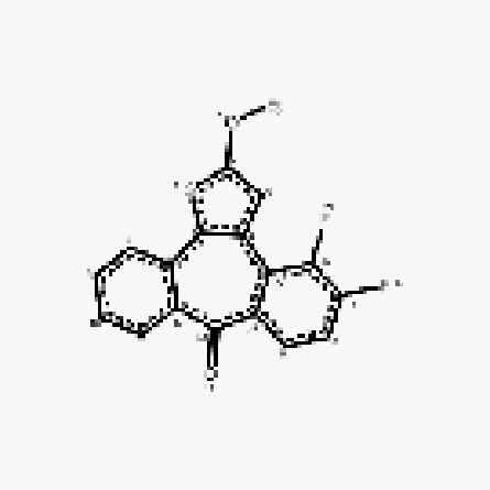 CCOc1cc2c(s1)c1ccccc1c(=O)c1ccc(F)c(F)c12